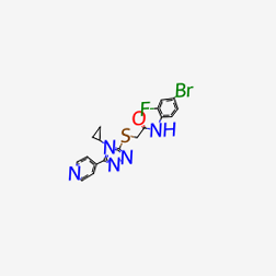 O=C(CSc1nnc(-c2ccncc2)n1C1CC1)Nc1ccc(Br)cc1F